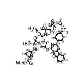 C=C[C@@H]1CC1(NC(=O)[C@@H]1C[C@@H](Oc2nc(-c3ccc(C(F)(F)F)cc3)nc3c2oc2ccccc23)CN1C(=O)[C@@H](Nc1nc(C(=O)OC)cs1)C(C)(C)C)C(=O)NS(=O)(=O)C1CC1